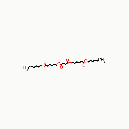 CCCCCCOC(=O)CCCCCOC(=O)CCC(=O)OCCCCCC(=O)OCCCCCC